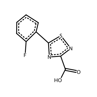 O=C(O)c1nsc(-c2ccccc2F)n1